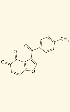 Cc1ccc(C(=O)c2coc3c2C(=O)C(=O)C=C3)cc1